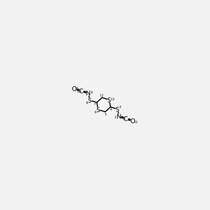 O=C=NSC1CSC(SN=C=O)CS1